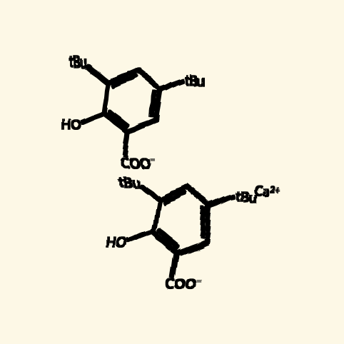 CC(C)(C)c1cc(C(=O)[O-])c(O)c(C(C)(C)C)c1.CC(C)(C)c1cc(C(=O)[O-])c(O)c(C(C)(C)C)c1.[Ca+2]